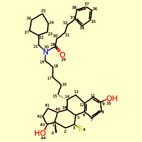 C[C@]12C[C@H](F)C3c4ccc(O)cc4C[C@@H](CCCCCN(CC4CCCCC4)C(=O)CCCc4ccccc4)C3C1CC[C@@H]2O